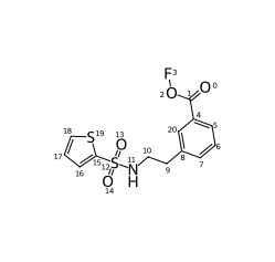 O=C(OF)c1cccc(CCNS(=O)(=O)c2cccs2)c1